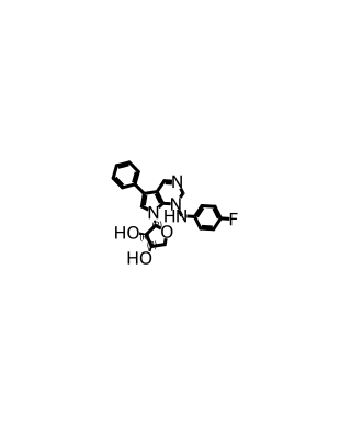 O[C@@H]1[C@H](O)CO[C@H]1n1cc(-c2ccccc2)c2c1N(Nc1ccc(F)cc1)CN=C2